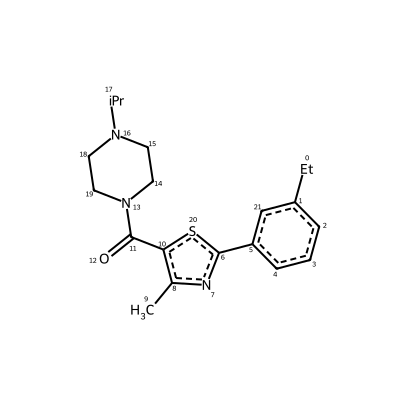 CCc1cccc(-c2nc(C)c(C(=O)N3CCN(C(C)C)CC3)s2)c1